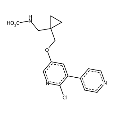 O=C(O)NCC1(COc2cnc(Cl)c(-c3ccncc3)c2)CC1